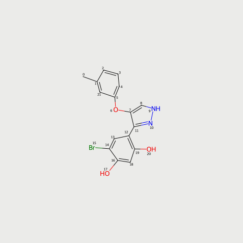 Cc1cccc(Oc2c[nH]nc2-c2cc(Br)c(O)cc2O)c1